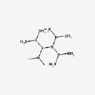 BB(B)B(B(B)B)B(B(B)B)B(C)C